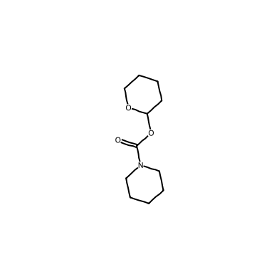 O=C(OC1CCCCO1)N1CCCCC1